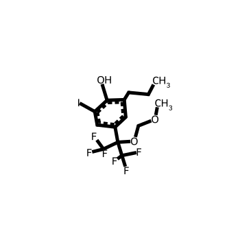 CCCc1cc(C(OCOC)(C(F)(F)F)C(F)(F)F)cc(I)c1O